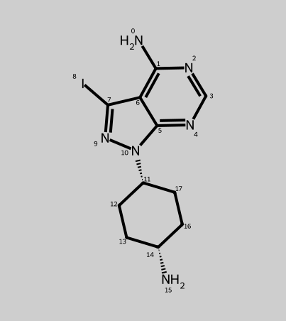 Nc1ncnc2c1c(I)nn2[C@H]1CC[C@@H](N)CC1